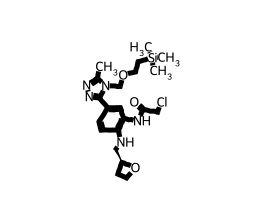 Cc1nnc(-c2ccc(NC[C@@H]3CCO3)c(NC(=O)CCl)c2)n1COCC[Si](C)(C)C